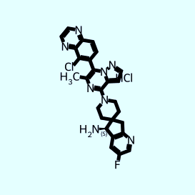 Cc1nc(N2CCC3(CC2)Cc2ncc(F)cc2[C@H]3N)c2ccnn2c1-c1ccc2nccnc2c1Cl.Cl